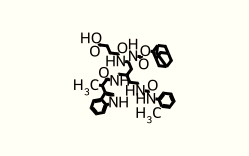 Cc1ccccc1NC(=O)NCCC(CNC(=O)C(C)c1c[nH]c2ccccc12)CC(NC(=O)CCC(=O)O)NC(=O)OC1C2CC3CC(C2)CC1C3